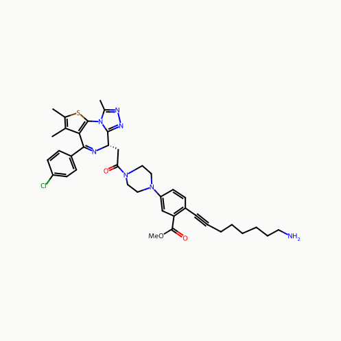 COC(=O)c1cc(N2CCN(C(=O)C[C@@H]3N=C(c4ccc(Cl)cc4)c4c(sc(C)c4C)-n4c(C)nnc43)CC2)ccc1C#CCCCCCCN